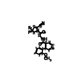 COc1ccccc1-c1cnccc1C(=O)NCC(=O)N1CC(F)(F)C[C@H]1C#N